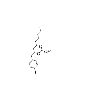 CCCCCCCC(Cc1ccc(I)cc1)OC(=O)O